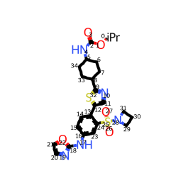 CC(C)OC(=O)NC1CCC(c2ncc(-c3ccc(Nc4ncco4)cc3S(=O)(=O)N3CCC3)s2)CC1